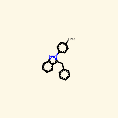 COc1ccc(-n2nc3ccccc3c2Cc2ccccc2)cc1